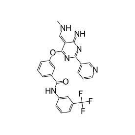 CN/C=C1\C(=N)N=C(c2cccnc2)N=C1Oc1cccc(C(=O)Nc2cccc(C(F)(F)F)c2)c1